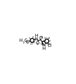 COc1ccc(NC(=O)C(=O)c2c[nH]c3c(Cl)cccc23)cc1